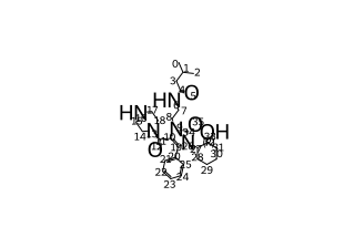 CC(C)CC(=O)NCCn1c(C(=O)N2CCNCC2)c(-c2ccccc2)n(C2CCCC[C@H]2O)c1=O